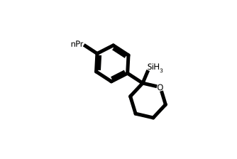 CCCc1ccc(C2([SiH3])CCCCO2)cc1